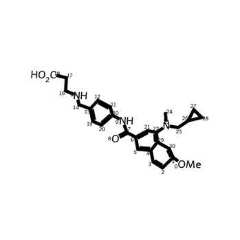 COc1ccc2cc(C(=O)Nc3ccc(CNCCC(=O)O)cc3)cc(N(C)CC3CC3)c2c1